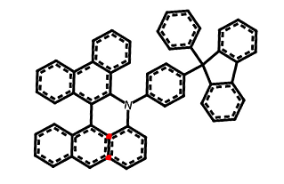 c1ccc(N(c2ccc(C3(c4ccccc4)c4ccccc4-c4ccccc43)cc2)c2c(-c3cccc4ccccc34)c3ccccc3c3ccccc23)cc1